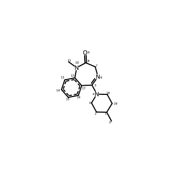 CC1CCN(C2=NCC(=O)N(C)c3ccccc32)CC1